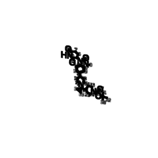 Cn1c(=O)n(C2CCC(=O)NC2=O)c2ccc(C3CCN(C4(C5CCN(C(=O)OC(C)(C)C)CC5)CC4)CC3)cc21